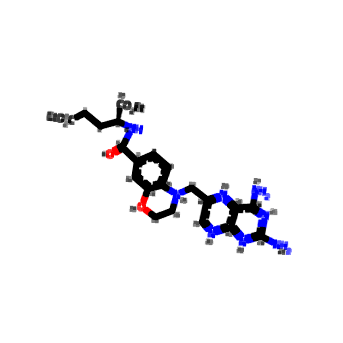 CCOC(=O)CC[C@H](NC(=O)c1ccc2c(c1)OCCN2Cc1cnc2nc(N)nc(N)c2n1)C(=O)OCC